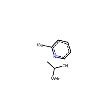 CC(C)(C)c1ccccn1.COC(C)C#N